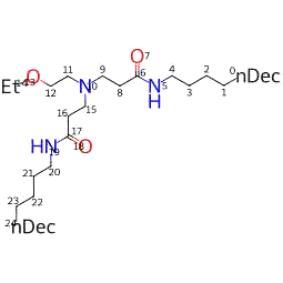 CCCCCCCCCCCCCCNC(=O)CCN(CCOCC)CCC(=O)NCCCCCCCCCCCCCC